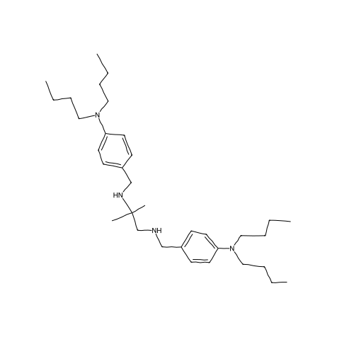 CCCCN(CCCC)c1ccc(CNCC(C)(C)NCc2ccc(N(CCCC)CCCC)cc2)cc1